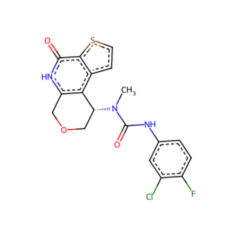 CN(C(=O)Nc1ccc(F)c(Cl)c1)[C@@H]1COCc2[nH]c(=O)c3sccc3c21